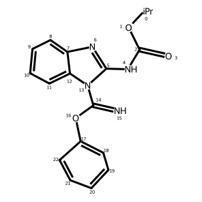 CC(C)OC(=O)Nc1nc2ccccc2n1C(=N)Oc1ccccc1